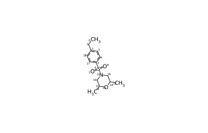 CCc1ccc(S(=O)(=O)N2CC(C)OC(C)C2)cc1